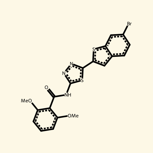 COc1cccc(OC)c1C(=O)Nc1nnc(-c2cc3ccc(Br)cc3s2)s1